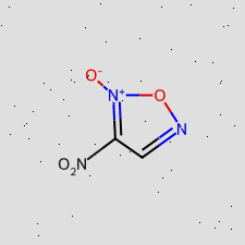 O=[N+]([O-])c1cno[n+]1[O-]